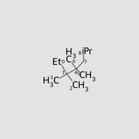 CCC(C)(C)C(C)(C)CC(C)C